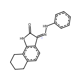 O=C1Nc2c(ccc3c2CCCC3)/C1=N/Nc1ccccc1